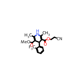 COC(=O)C1=C(C)NC(C)=C(C(=O)OCCC#N)C1c1ccccc1C(F)(F)F